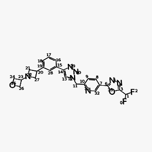 FC(F)c1nnc(-c2ccc(Cn3cc(-c4cccc(C5CN(C6COC6)C5)c4)nn3)nc2)o1